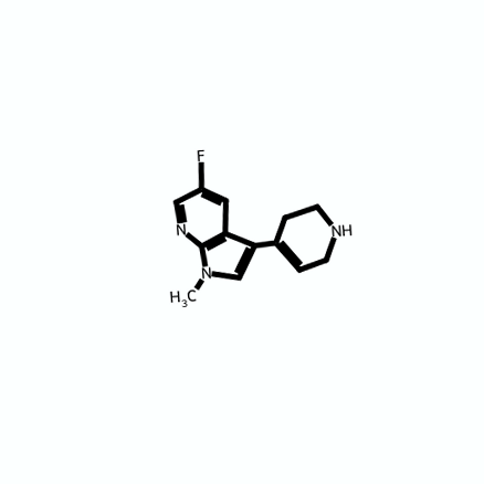 Cn1cc(C2=CCNCC2)c2cc(F)cnc21